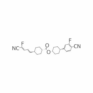 N#CC(F)=CC=C[C@H]1CC[C@H](C(=O)O[C@H]2CC[C@H](c3ccc(C#N)c(F)c3)CC2)CC1